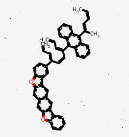 C=C/C=C(/C=C\C(=C\C=C)c1c2ccccc2c(/C(C)=C/C=C\C)c2ccccc12)c1ccc2oc3cc4cc5oc6ccccc6c5cc4cc3c2c1